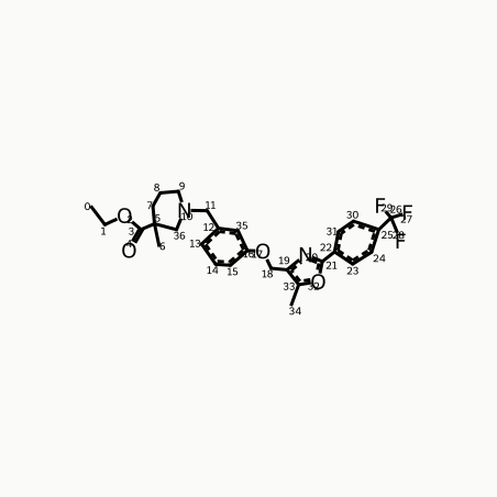 CCOC(=O)C1(C)CCCN(Cc2cccc(OCc3nc(-c4ccc(C(F)(F)F)cc4)oc3C)c2)C1